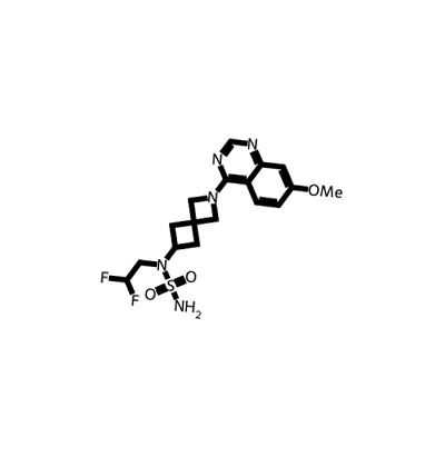 COc1ccc2c(N3CC4(CC(N(CC(F)F)S(N)(=O)=O)C4)C3)ncnc2c1